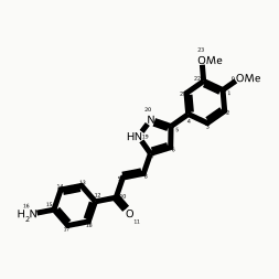 COc1ccc(-c2cc(C=CC(=O)c3ccc(N)cc3)[nH]n2)cc1OC